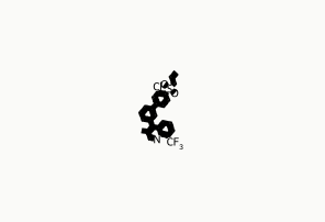 C=CCS(=O)(=O)c1ccc(-c2cccc(-c3c(C)cnc4c(C(F)(F)F)cccc34)c2)cc1Cl